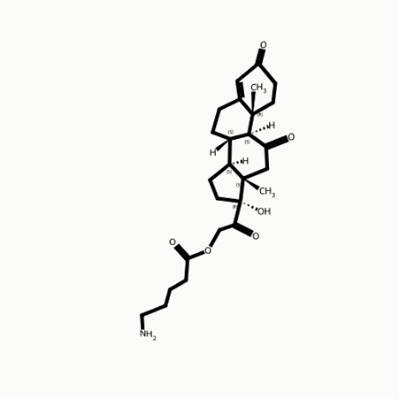 C[C@]12CCC(=O)C=C1CC[C@@H]1[C@@H]2C(=O)C[C@@]2(C)[C@H]1CC[C@]2(O)C(=O)COC(=O)CCCCN